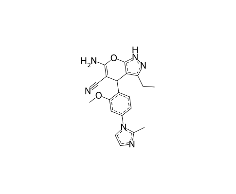 CCc1n[nH]c2c1C(c1ccc(-n3ccnc3C)cc1OC)C(C#N)=C(N)O2